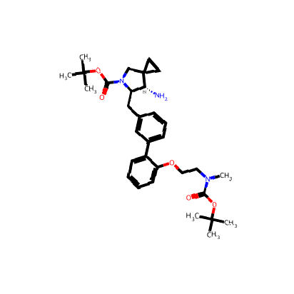 CN(CCOc1ccccc1-c1cccc(CC2[C@@H](N)C3(CC3)CN2C(=O)OC(C)(C)C)c1)C(=O)OC(C)(C)C